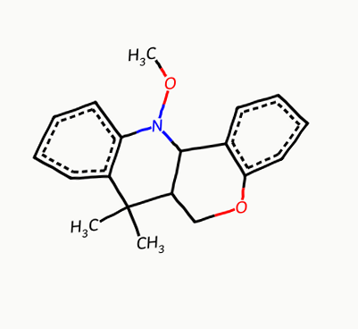 CON1c2ccccc2C(C)(C)C2COc3ccccc3C21